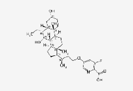 CC[C@H]1[C@@H](O)[C@@H]2[C@H](CC[C@]3(C)[C@@H]([C@H](C)CCOc4cnc(C(=O)O)c(F)c4)CC[C@@H]23)[C@@]2(C)CC[C@@H](O)C[C@@H]12